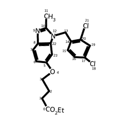 CCOC(=O)CCCOc1ccc2nc(C)n(Cc3ccc(Cl)cc3Cl)c2c1